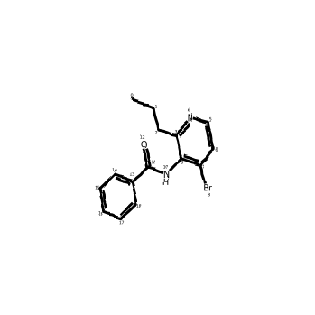 CCCc1nccc(Br)c1NC(=O)c1ccccc1